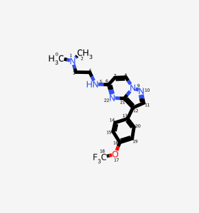 CN(C)CCNc1ccn2ncc(-c3ccc(OC(F)(F)F)cc3)c2n1